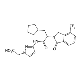 O=C(O)Cn1ccc(NC(=O)C(CC2CCCC2)N2Cc3c(cccc3C(F)(F)F)C2=O)n1